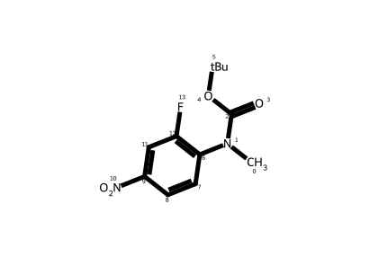 CN(C(=O)OC(C)(C)C)c1ccc([N+](=O)[O-])cc1F